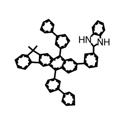 CC1(C)c2ccccc2-c2cc3c(-c4cccc(-c5ccccc5)c4)c4ccc(-c5cccc(C6Nc7ccccc7N6)c5)cc4c(-c4cccc(-c5ccccc5)c4)c3cc21